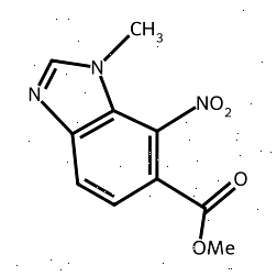 COC(=O)c1ccc2ncn(C)c2c1[N+](=O)[O-]